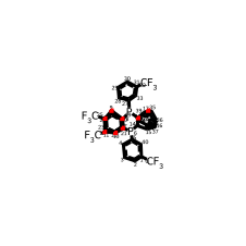 FC(F)(F)c1cccc(P(c2cccc(C(F)(F)F)c2)[C]23[CH]4[CH]5[CH]6[C]2(P(c2cccc(C(F)(F)F)c2)c2cccc(C(F)(F)F)c2)[Fe]54632789[CH]3[CH]2[CH]7[CH]8[CH]39)c1